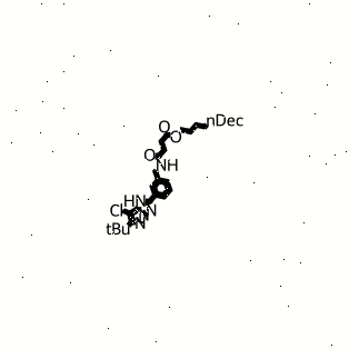 CCCCCCCCCCCCCCOC(=O)CCC(=O)NCc1cccc(-c2nn3nc(C(C)(C)C)c(Cl)c3[nH]2)c1